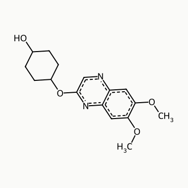 COc1cc2ncc(OC3CCC(O)CC3)nc2cc1OC